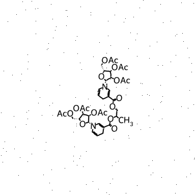 CC(=O)OC[C@H]1O[C@@H](N2C=CCC(C(=O)OCC(C)OC(=O)C3=CN([C@@H]4O[C@H](COC(C)=O)[C@@H](OC(C)=O)[C@H]4OC(C)=O)C=CC3)=C2)[C@H](OC(C)=O)[C@@H]1OC(C)=O